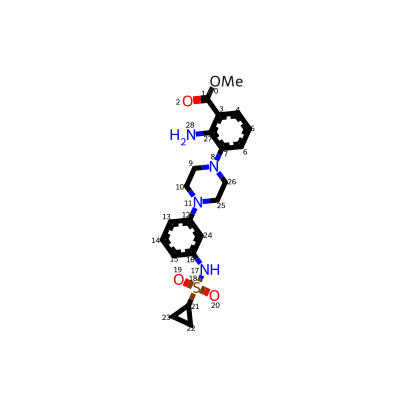 COC(=O)c1cccc(N2CCN(c3cccc(NS(=O)(=O)C4CC4)c3)CC2)c1N